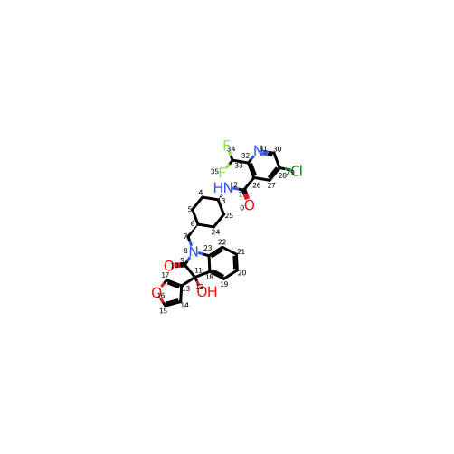 O=C(N[C@H]1CC[C@H](CN2C(=O)C(O)(c3ccoc3)c3ccccc32)CC1)c1cc(Cl)cnc1C(F)F